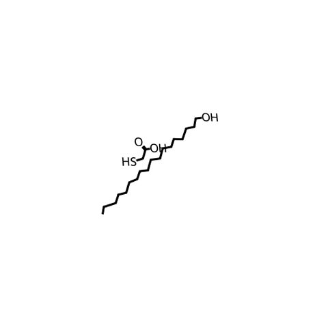 CCCCCCCCCCCCCCCCCCO.O=C(O)CS